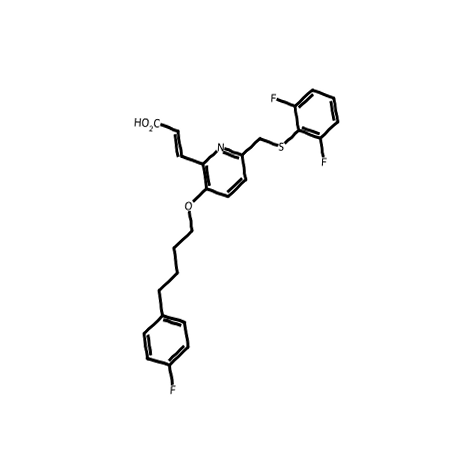 O=C(O)C=Cc1nc(CSc2c(F)cccc2F)ccc1OCCCCc1ccc(F)cc1